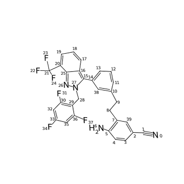 N#Cc1ccc(N)c(CCc2cccc(-c3c4cccc(C(F)(F)F)c4nn3Cc3c(F)cc(F)cc3F)c2)c1